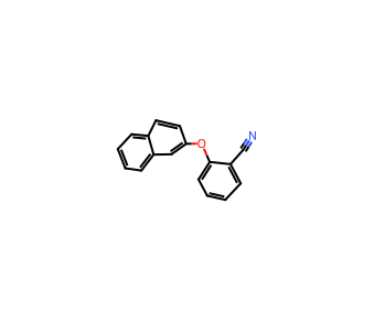 N#Cc1ccccc1Oc1ccc2ccccc2c1